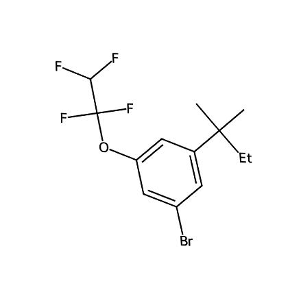 CCC(C)(C)c1cc(Br)cc(OC(F)(F)C(F)F)c1